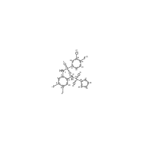 O=S(=O)(Nc1cc(I)c(I)cc1NS(=O)(=O)c1cccs1)c1ccc(F)c(Cl)c1